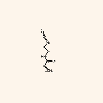 C=CC(=O)NCCN=C=O